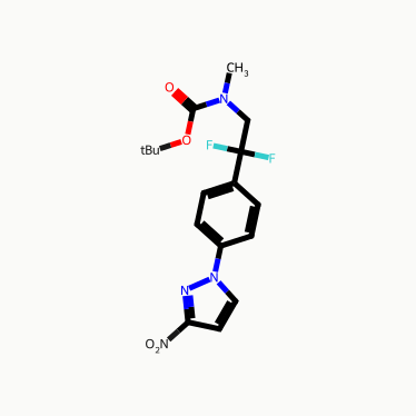 CN(CC(F)(F)c1ccc(-n2ccc([N+](=O)[O-])n2)cc1)C(=O)OC(C)(C)C